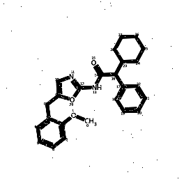 COc1ccccc1Cc1cnc(NC(=O)C(c2ccccc2)C2CCCCC2)o1